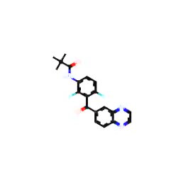 CC(C)(C)C(=O)Nc1ccc(F)c(C(=O)c2ccc3nccnc3c2)c1F